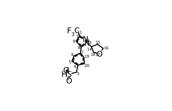 O=[SH](=O)Cc1ccc(-c2cc(C(F)(F)F)nn2C2CCOC2)cc1